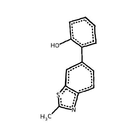 Cc1nc2ccc(-c3ccccc3O)cc2s1